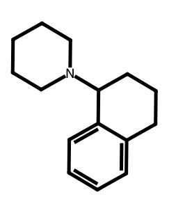 c1ccc2c(c1)CCCC2N1CCCCC1